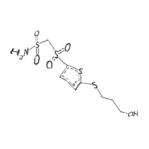 NS(=O)(=O)CS(=O)(=O)c1ccc(SCCCO)s1